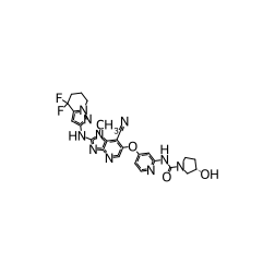 Cn1c(Nc2cc3n(n2)CCCC3(F)F)nc2ncc(Oc3ccnc(NC(=O)N4CC[C@H](O)C4)c3)c(C#N)c21